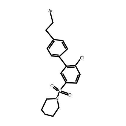 CC(=O)CCc1ccc(-c2cc(S(=O)(=O)N3CCCCC3)ccc2Cl)cc1